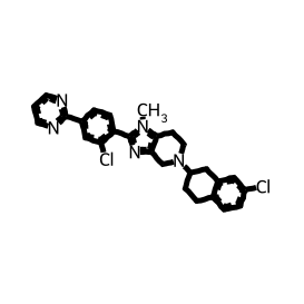 Cn1c(-c2ccc(-c3ncccn3)cc2Cl)nc2c1CCN(C1CCc3ccc(Cl)cc3C1)C2